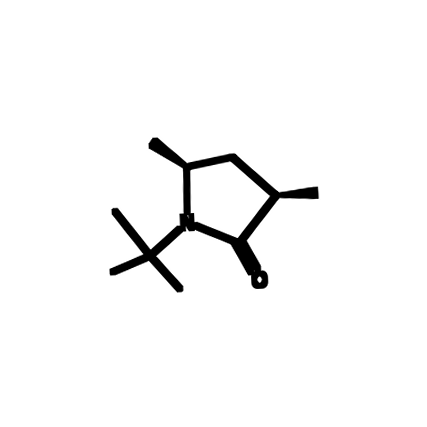 C[C@@H]1C[C@H](C)N(C(C)(C)C)C1=O